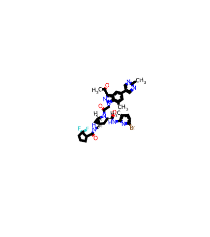 CC(=O)c1nn(CC(=O)N2[C@H](C(=O)Nc3nc(Br)ccc3C)C[C@@]3(CNC(=O)C4CCCC4(F)F)C[C@@H]23)c2c(C)cc(-c3cnc(C)nc3)cc12